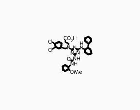 COc1ccccc1NC(=O)Nc1nc(Nc2ccccc2-c2ccccc2)nc(N(CCC(=O)O)Cc2ccc(Cl)c(Cl)c2)n1